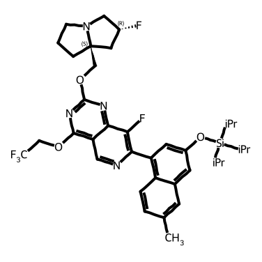 Cc1ccc2c(-c3ncc4c(OCC(F)(F)F)nc(OC[C@@]56CCCN5C[C@H](F)C6)nc4c3F)cc(O[Si](C(C)C)(C(C)C)C(C)C)cc2c1